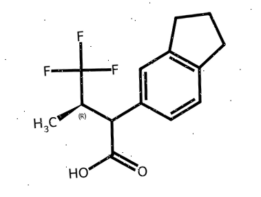 C[C@H](C(C(=O)O)c1ccc2c(c1)CCC2)C(F)(F)F